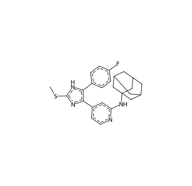 CSc1nc(-c2ccnc(NC34CC5CC(CC(C5)C3)C4)c2)c(-c2ccc(F)cc2)[nH]1